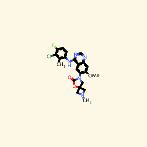 COc1cc2ncnc(Nc3ccc(F)c(Cl)c3C)c2cc1N1CC2(CN(C)C2)OC1=O